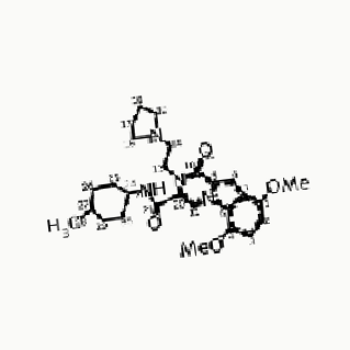 COc1ccc(OC)c2c1cc1c(=O)n(CCN3CCCC3)c(C(=O)NC3CCC(C)CC3)cn12